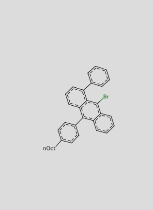 CCCCCCCCc1ccc(-c2c3ccccc3c(Br)c3c(-c4ccccc4)cccc23)cc1